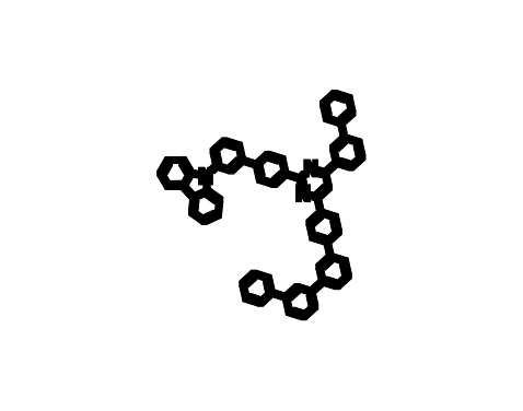 c1ccc(-c2cccc(-c3cccc(-c4ccc(-c5cc(-c6cccc(-c7ccccc7)c6)nc(-c6ccc(-c7cccc(-n8c9ccccc9c9ccccc98)c7)cc6)n5)cc4)c3)c2)cc1